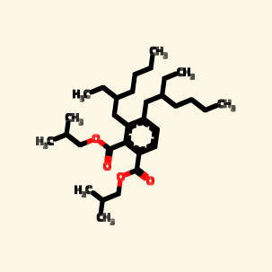 CCCCC(CC)Cc1ccc(C(=O)OCC(C)C)c(C(=O)OCC(C)C)c1CC(CC)CCCC